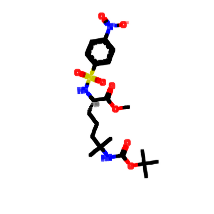 COC(=O)[C@H](CCCC(C)(C)NC(=O)OC(C)(C)C)NS(=O)(=O)c1ccc([N+](=O)[O-])cc1